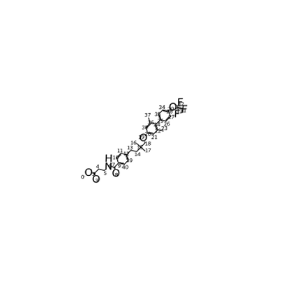 COC(=O)CCNC(=O)c1ccc(CCC(C)(C)COc2cc(C)c(-c3ccc(OC(F)(F)F)cc3)c(C)c2)cc1